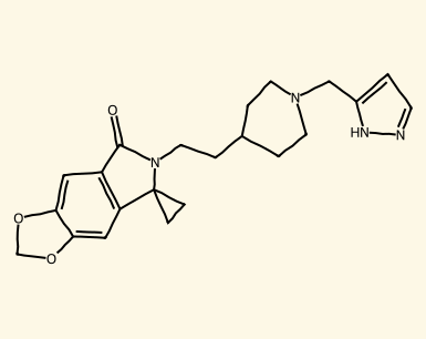 O=C1c2cc3c(cc2C2(CC2)N1CCC1CCN(Cc2ccn[nH]2)CC1)OCO3